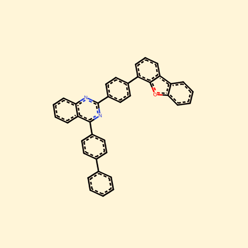 c1ccc(-c2ccc(-c3nc(-c4ccc(-c5cccc6c5oc5ccccc56)cc4)nc4ccccc34)cc2)cc1